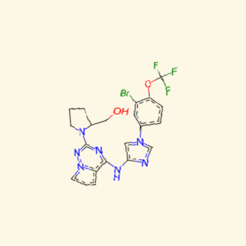 OCC1CCCN1c1nc(Nc2cn(-c3ccc(OC(F)(F)F)c(Br)c3)cn2)c2cccn2n1